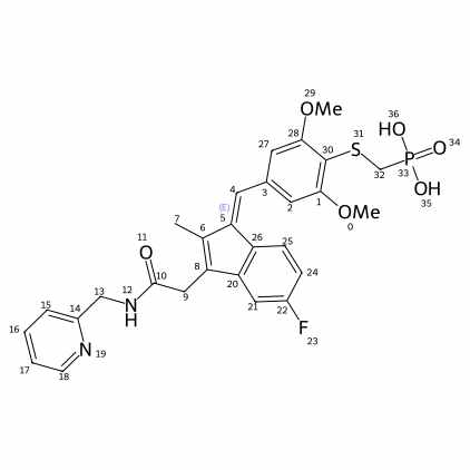 COc1cc(/C=C2/C(C)=C(CC(=O)NCc3ccccn3)c3cc(F)ccc32)cc(OC)c1SCP(=O)(O)O